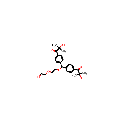 CC(C)(O)C(=O)c1ccc(C(OCCOCCO)c2ccc(C(=O)C(C)(C)O)cc2)cc1